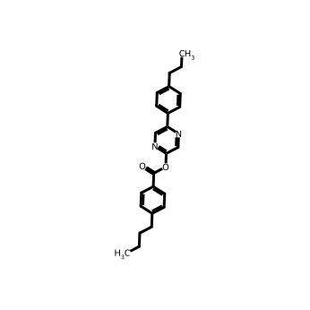 CCCCc1ccc(C(=O)Oc2cnc(-c3ccc(CCC)cc3)cn2)cc1